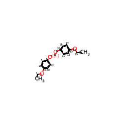 CCOc1ccc(OBOc2ccc(OCC)cc2)cc1